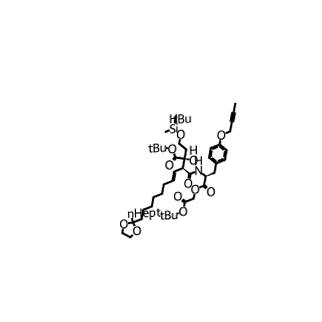 CC#CCOc1ccc(C[C@H](NC(=O)[C@@H](/C=C/CCCCCCC2(CCCCCCC)OCCO2)[C@@](O)(CCO[SiH](C)C(C)(C)C)C(=O)OC(C)(C)C)C(=O)OCC(=O)OC(C)(C)C)cc1